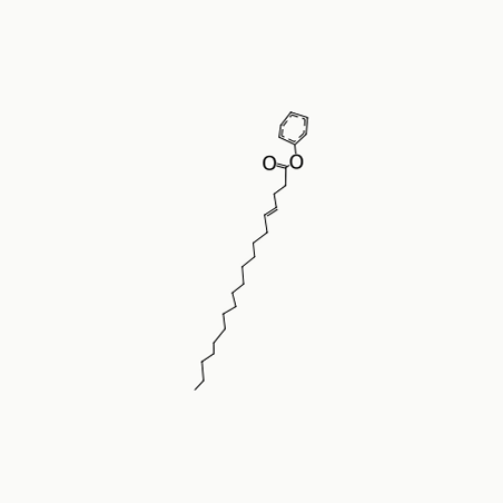 CCCCCCCCCCCCCCC=CCCC(=O)Oc1ccccc1